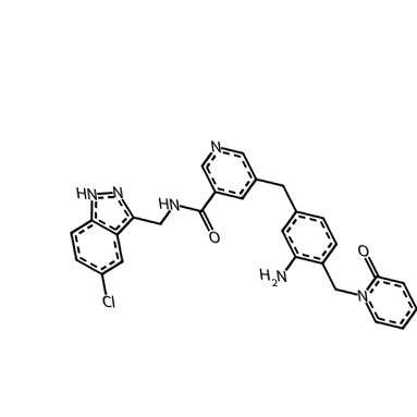 Nc1cc(Cc2cncc(C(=O)NCc3n[nH]c4ccc(Cl)cc34)c2)ccc1Cn1ccccc1=O